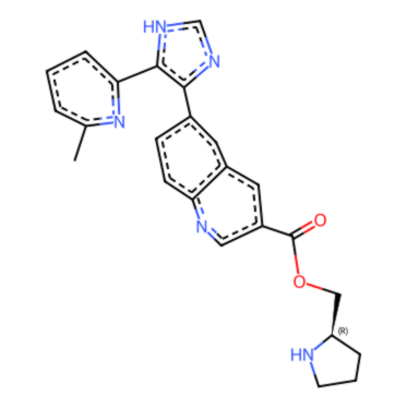 Cc1cccc(-c2[nH]cnc2-c2ccc3ncc(C(=O)OC[C@H]4CCCN4)cc3c2)n1